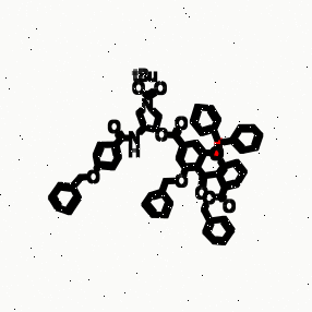 CC(C)(C)OC(=O)N1CC(NC(=O)c2ccc(OCc3ccccc3)cc2)C(OC(=O)c2cc(OCc3ccccc3)c(C(=O)c3c(OCc4ccccc4)cccc3C(=O)OCc3ccccc3)c(OCc3ccccc3)c2)C1